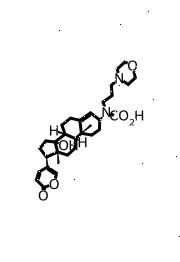 C[C@]12CC[C@H](N(CCCN3CCOCC3)C(=O)O)C=C1CC[C@@H]1[C@@H]2CC[C@]2(C)[C@@H](c3ccc(=O)oc3)CC[C@]12O